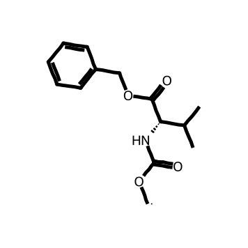 [CH2]OC(=O)N[C@H](C(=O)OCc1ccccc1)C(C)C